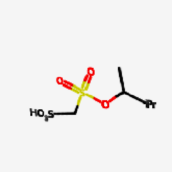 CC(C)C(C)OS(=O)(=O)CS(=O)(=O)O